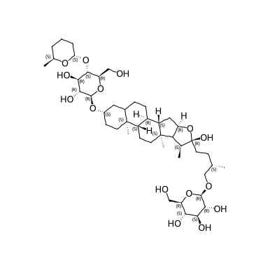 C[C@@H](CC[C@@]1(O)O[C@@H]2C[C@H]3[C@@H]4CCC5C[C@@H](O[C@@H]6O[C@H](CO)[C@@H](O[C@H]7CCC[C@H](C)O7)[C@H](O)[C@H]6O)CC[C@]5(C)[C@H]4CC[C@]3(C)C2[C@@H]1C)CO[C@@H]1O[C@H](CO)[C@@H](O)[C@H](O)[C@H]1O